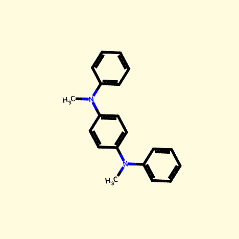 CN(c1ccccc1)c1ccc(N(C)c2ccccc2)cc1